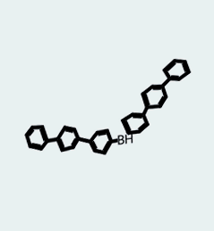 B(c1ccc(-c2ccc(-c3ccccc3)cc2)cc1)c1ccc(-c2ccc(-c3ccccc3)cc2)cc1